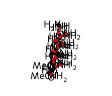 COc1ccc(NC(=O)C(CCCCNC(=N)N)NC(=O)c2cc(NC(=O)[C@@H](CCCNC(=N)N)NC(=O)c3cc(NC(=O)[C@@H](CCCNC(=N)N)NC(=O)c4cc(NC(=O)[C@@H](CCCNC(=N)N)NC(=O)CCCCNC(=N)N)ccc4OC)ccc3OC)ccc2OC)cc1C(N)=O